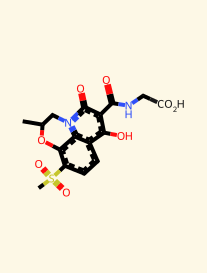 CC1Cn2c(=O)c(C(=O)NCC(=O)O)c(O)c3ccc(S(C)(=O)=O)c(c32)O1